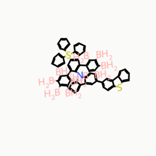 Bc1c(B)c(B)c(-c2cc(S(c3ccccc3)(c3ccccc3)c3ccccc3)cc(-c3c(B)c(B)c(B)c(B)c3B)c2-n2c3ccccc3c3cc(-c4ccc5sc6ccccc6c5c4)ccc32)c(B)c1B